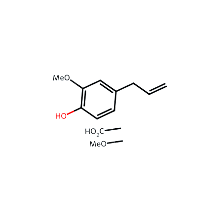 C=CCc1ccc(O)c(OC)c1.CC(=O)O.COC